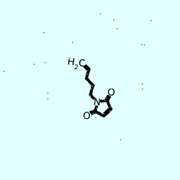 C=CCCCN1C(=O)C=CC1=O